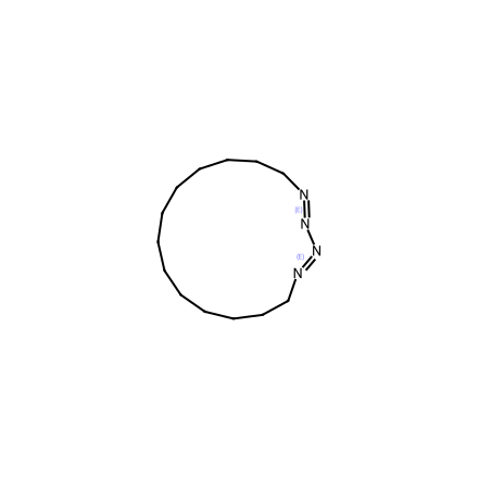 C1CCCCCC/N=N/N=N/CCCCCC1